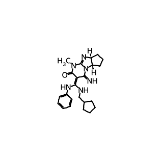 Cn1c(=O)/c(=C(/NCC2CCCC2)Nc2ccccc2)c(=N)n2c1=N[C@@H]1CCC[C@@H]12